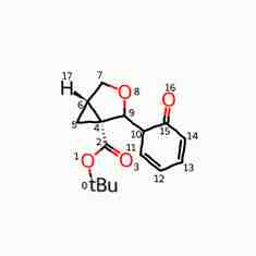 CC(C)(C)OC(=O)[C@]12C[C@@H]1COC2C1C=CC=CC1=O